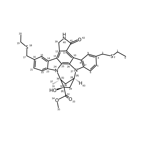 CCSCc1ccc2c(c1)c1c3c(c4c5cc(CSCC)ccc5n5c4c1n2[C@H]1C[C@](O)(C(=O)OC)[C@]5(C)C1)CNC3=O